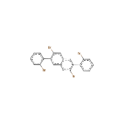 Brc1ccccc1-c1cc2cc(Br)c(-c3ccccc3Br)cc2cc1Br